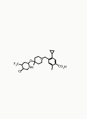 CC1(OC2CC(C(F)(F)F)C(Cl)CN2)CCN(Cc2cc(F)c(C(=O)O)cc2C2CC2)CC1